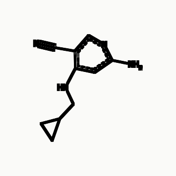 N#Cc1cnc(N)cc1NCC1CC1